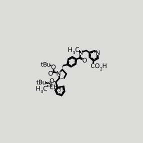 CN(Cc1cncc(C(=O)O)c1)C(=O)c1ccc(C[C@@H]2CC[C@H]([C@H](O[Si](C)(C)C(C)(C)C)c3ccccc3)N2C(=O)OC(C)(C)C)cc1